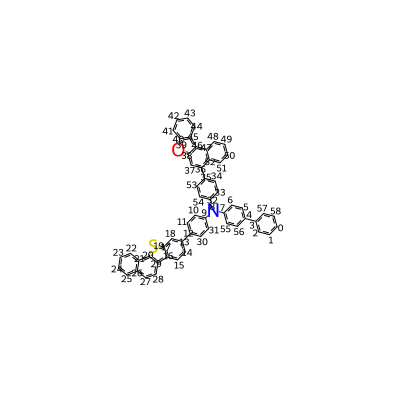 c1ccc(-c2ccc(N(c3ccc(-c4ccc5c(c4)sc4c6ccccc6ccc54)cc3)c3ccc(-c4cc5oc6ccccc6c5c5ccccc45)cc3)cc2)cc1